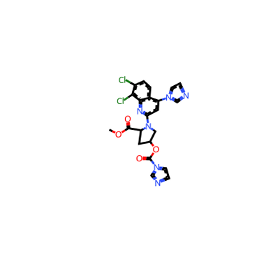 COC(=O)C1CC(OC(=O)n2ccnc2)CN1c1cc(-n2ccnc2)c2ccc(Cl)c(Cl)c2n1